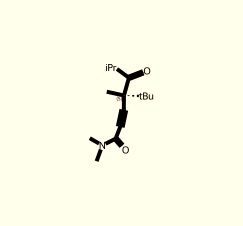 CC(C)C(=O)[C@](C)(C#CC(=O)N(C)C)C(C)(C)C